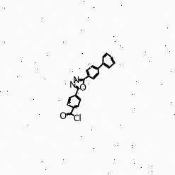 O=C(Cl)c1ccc(-c2nnc(-c3ccc(-c4ccccc4)cc3)o2)cc1